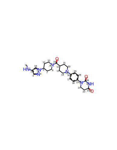 CNc1cnn(C2CCN(C(=O)C3CCN(c4ccc(N5CCC(=O)NC5=O)cc4)CC3)CC2)c1